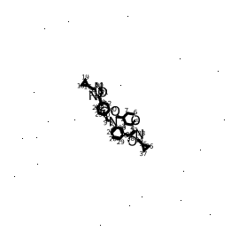 O=C(C1CCOCC1)N(CC12CCC(c3nc(C4CC4)no3)(CC1)CC2)c1cccc(-c2cnc(C3CC3)o2)c1